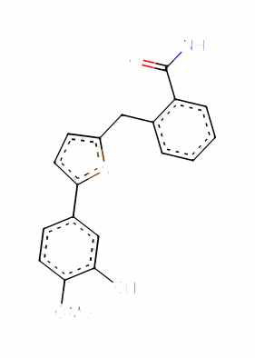 COc1ccc(-c2ccc(Cc3ccccc3C(N)=O)s2)cc1C